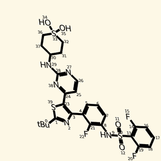 CC(C)(C)c1nc(-c2cccc(NS(=O)(=O)c3c(F)cccc3F)c2F)c(-c2ccnc(NC3CCS(O)(O)CC3)n2)s1